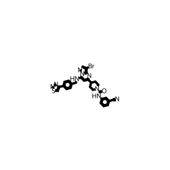 N#Cc1cccc(NC(=O)N2CCC(c3cc(NCc4ccc(-c5csnn5)cc4)n4ncc(Br)c4n3)CC2)c1